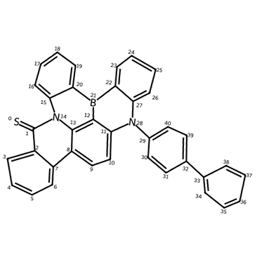 S=c1c2ccccc2c2ccc3c4c2n1-c1ccccc1B4c1ccccc1N3c1ccc(-c2ccccc2)cc1